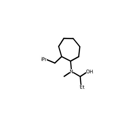 CCC(O)N(C)C1CCCCCC1CC(C)C